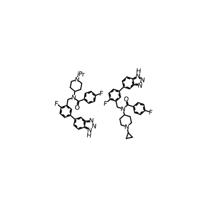 CC(C)N1CCC(N(Cc2cc(-c3ccc4[nH]nnc4c3)ccc2F)C(=O)c2ccc(F)cc2)CC1.O=C(c1ccc(F)cc1)N(Cc1cc(-c2ccc3[nH]nnc3c2)ccc1F)C1CCN(C2CC2)CC1